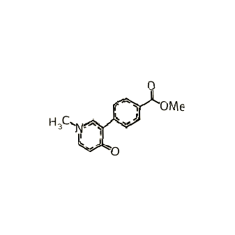 COC(=O)c1ccc(-c2cn(C)ccc2=O)cc1